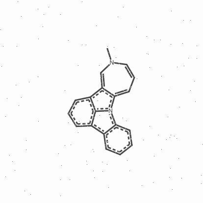 CN1C=CC=c2c(c3cccc4c5ccccc5n2c34)=C1